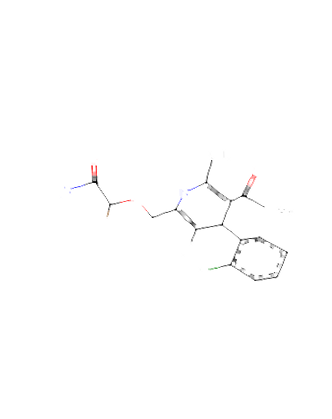 CCOC(=O)C1=C(COC(S)C(N)=O)NC(C)=C(C(=O)OC)C1c1ccccc1Cl